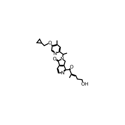 C/C(=C\CCO)C(=O)c1nccc2c1CN(C(C)c1cc(C)c(OCC3CC3)cn1)C2=O